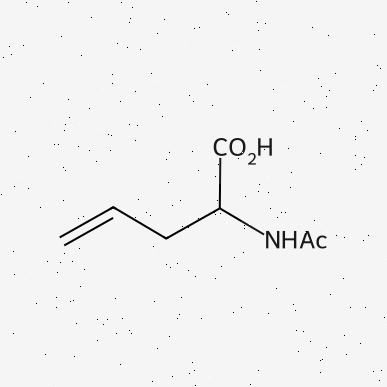 C=CCC(NC(C)=O)C(=O)O